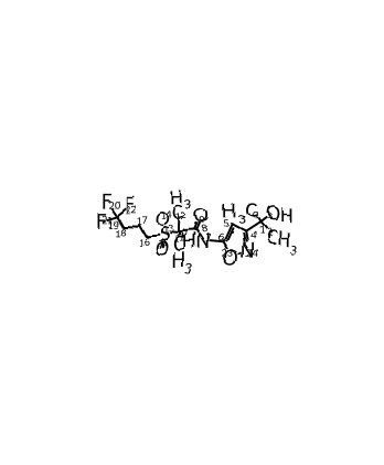 CC(C)(O)c1cc(NC(=O)C(C)(C)S(=O)(=O)CCCC(F)(F)F)on1